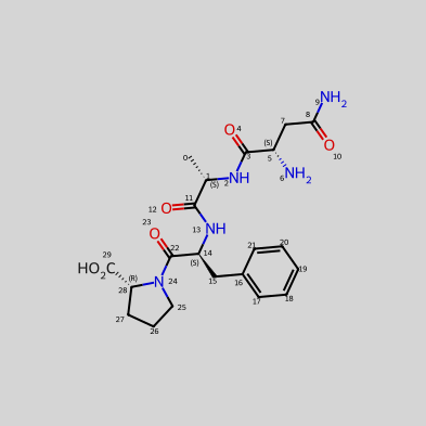 C[C@H](NC(=O)[C@@H](N)CC(N)=O)C(=O)N[C@@H](Cc1ccccc1)C(=O)N1CCC[C@@H]1C(=O)O